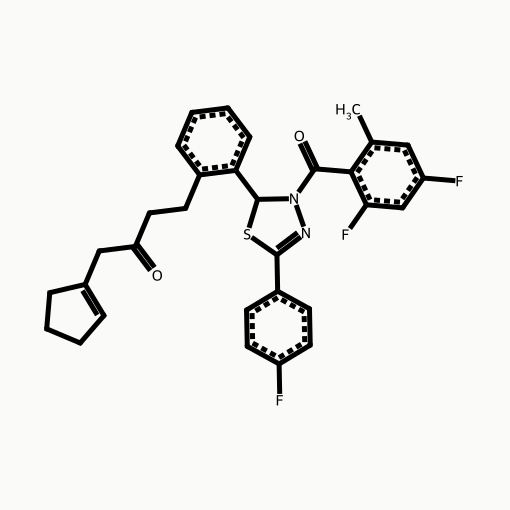 Cc1cc(F)cc(F)c1C(=O)N1N=C(c2ccc(F)cc2)SC1c1ccccc1CCC(=O)CC1=CCCC1